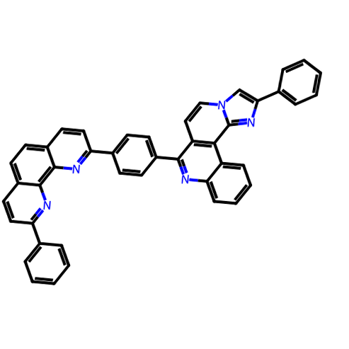 c1ccc(-c2ccc3ccc4ccc(-c5ccc(-c6nc7ccccc7c7c6ccn6cc(-c8ccccc8)nc76)cc5)nc4c3n2)cc1